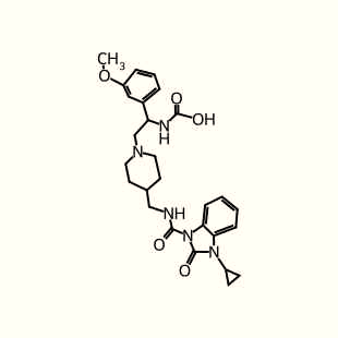 COc1cccc(C(CN2CCC(CNC(=O)n3c(=O)n(C4CC4)c4ccccc43)CC2)NC(=O)O)c1